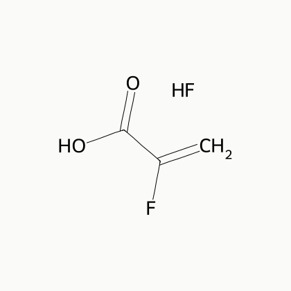 C=C(F)C(=O)O.F